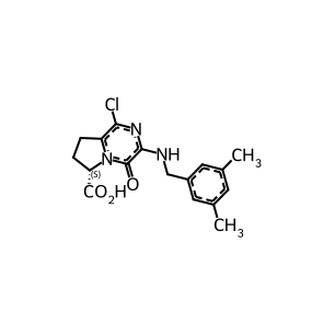 Cc1cc(C)cc(CNc2nc(Cl)c3n(c2=O)[C@H](C(=O)O)CC3)c1